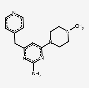 CN1CCN(c2cc(Cc3ccncc3)nc(N)n2)CC1